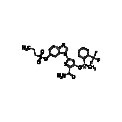 CCCS(=O)(=O)Oc1ccc2ncn(-c3cc(O[C@H](C)c4ccccc4C(F)(F)F)c(C(N)=O)s3)c2c1